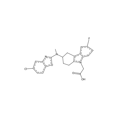 CN(c1nc2cc(Cl)ccc2o1)C1CCc2c(c3cc(F)ccc3n2CC(=O)O)C1